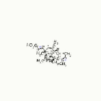 C/C=C(/C)[C@H]1O[C@H]2C(C)=C[C@@](C)(/C=C/C(=O)O)[C@H]3C(C)=C[C@]1(C)[C@@]23C